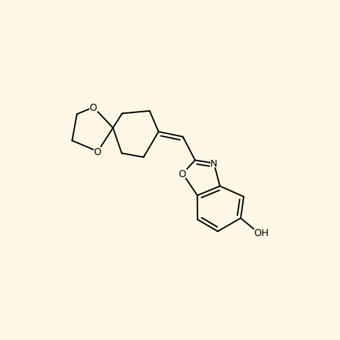 Oc1ccc2oc(C=C3CCC4(CC3)OCCO4)nc2c1